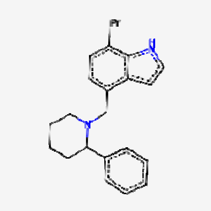 CC(C)c1ccc(CN2CCCCC2c2ccccc2)c2cc[nH]c12